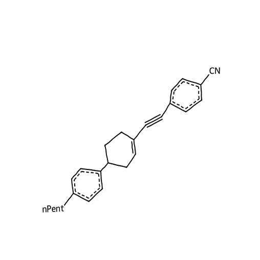 CCCCCc1ccc(C2CC=C(C#Cc3ccc(C#N)cc3)CC2)cc1